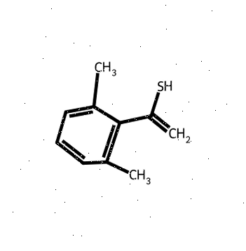 C=C(S)c1c(C)cccc1C